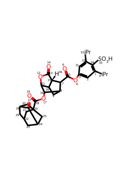 CC(C)c1cc(OC(=O)C2C3CC4C(OC(=O)[C@@H]42)C3OC(=O)C23CC4CC(C2)C(=O)C(C4)C3)cc(C(C)C)c1S(=O)(=O)O